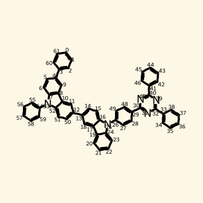 c1ccc(-c2ccc3c(c2)c2cc(-c4ccc5c(c4)c4ccccc4n5-c4ccc(-c5nc(-c6ccccc6)nc(-c6ccccc6)n5)cc4)ccc2n3-c2ccccc2)cc1